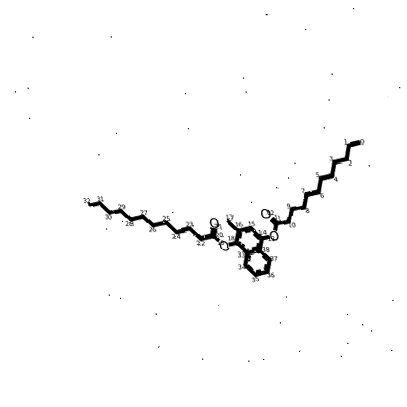 CCCCCCCCCCCC(=O)Oc1cc(C)c(OC(=O)CCCCCCCCCCC)c2ccccc12